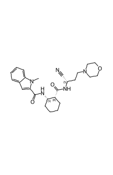 Cn1c(C(=O)N[C@H]2CCCC[C@H]2C(=O)N[C@H](C#N)CCN2CCOCC2)cc2ccccc21